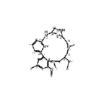 C=Nc1cc(C)cc2c1N(C)CC(CC)CN(C)CC1CC(CN1)Nc1cccc-2n1